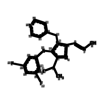 CC(C)c1nc(/C=N/O)n(Cc2ccncc2)c1Sc1cc(F)cc(F)c1